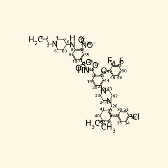 C=CCN1CCC(Nc2ccc(S(=O)(=O)NC(=O)c3ccc(N4CCN(CC5=C(c6ccc(Cl)cc6)CC(C)(C)CC5)CC4)cc3Oc3cccc(F)c3F)cc2[N+](=O)[O-])CC1